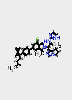 C=C(Nc1ncc[nH]1)C(c1ncn2c1CCC2)N1Cc2c(F)cc(-c3ccc(C4(CCCC)CC45CC5)cc3)cc2C1=C